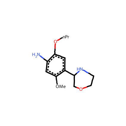 CCCOc1cc(C2COCCN2)c(OC)cc1N